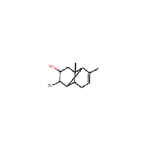 CC1=CCC2C3C(C(C)C)C(O)CC2(C)C13